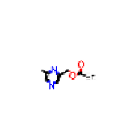 CCC(=O)OCc1cncc(C)n1